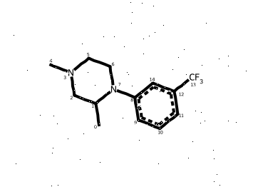 CC1CN(C)CCN1c1cccc(C(F)(F)F)c1